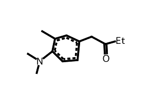 CCC(=O)Cc1ccc(N(C)C)c(C)c1